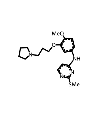 COc1ccc(Nc2ccnc(SC)n2)cc1OCCCN1CCCC1